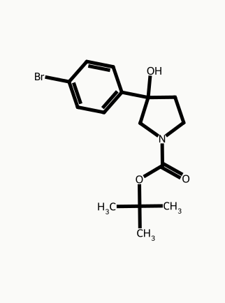 CC(C)(C)OC(=O)N1CCC(O)(c2ccc(Br)cc2)C1